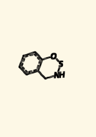 c1ccc2c(c1)CNSO2